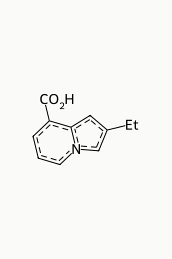 CCc1cc2c(C(=O)O)cccn2c1